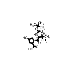 CC(C)(C)OC(=O)N[C@@H](C(=O)N1CC(O)CC1C(=O)O)C(C)(C)C